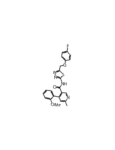 COc1ccccc1-c1cc(C)ncc1C(=O)Nc1nnc(COc2ccc(F)cc2)s1